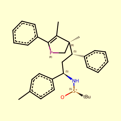 CC1=C(c2ccccc2)[P@@]2C[C@]1(C)[C@H](c1ccccc1)C2[C@@H](N[S@+]([O-])C(C)(C)C)c1ccc(C)cc1